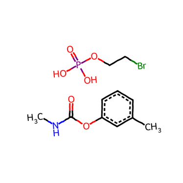 CNC(=O)Oc1cccc(C)c1.O=P(O)(O)OCCBr